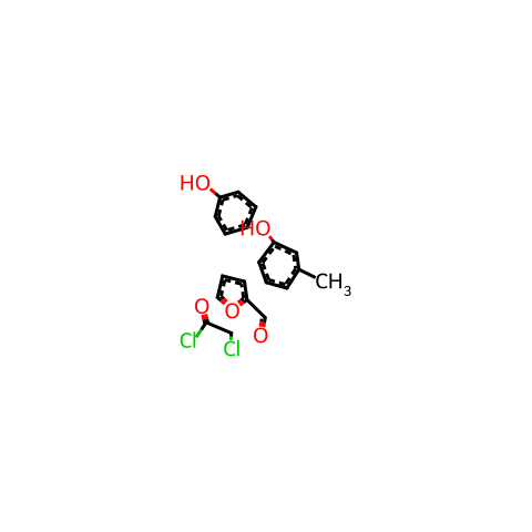 Cc1cccc(O)c1.O=C(Cl)CCl.O=Cc1ccco1.Oc1ccccc1